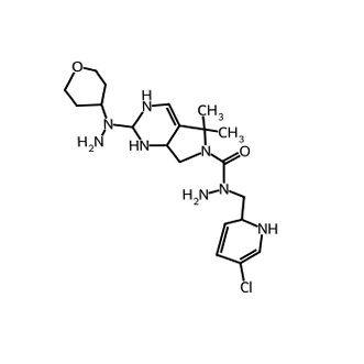 CC1(C)C2=CNC(N(N)C3CCOCC3)NC2CN1C(=O)N(N)CC1C=CC(Cl)=CN1